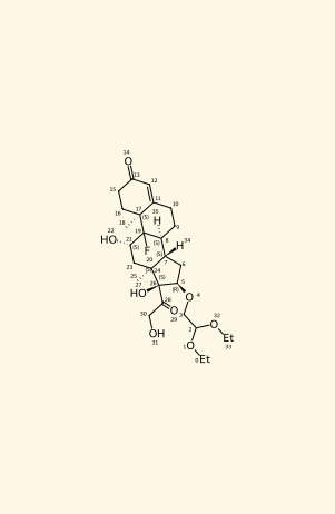 CCOC(CO[C@@H]1C[C@H]2[C@@H]3CCC4=CC(=O)CC[C@]4(C)C3(F)[C@@H](O)C[C@]2(C)[C@@]1(O)C(=O)CO)OCC